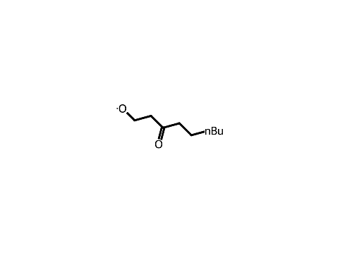 CCCCCCC(=O)CC[O]